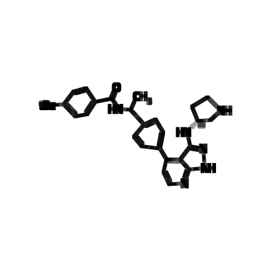 CC(NC(=O)c1ccc(C(C)(C)C)cc1)c1ccc(-c2ccnc3[nH]nc(N[C@@H]4CCNC4)c23)cc1